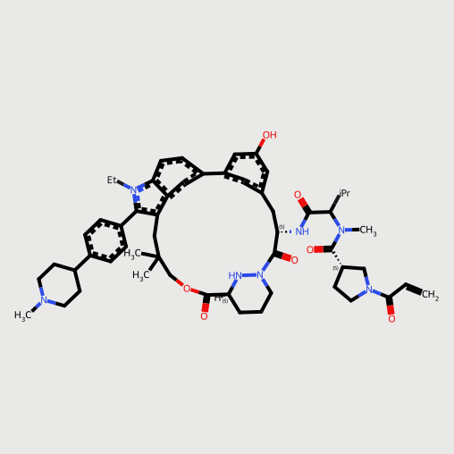 C=CC(=O)N1CC[C@H](C(=O)N(C)C(C(=O)N[C@H]2Cc3cc(O)cc(c3)-c3ccc4c(c3)c(c(-c3ccc(C5CCN(C)CC5)cc3)n4CC)CC(C)(C)COC(=O)[C@@H]3CCCN(N3)C2=O)C(C)C)C1